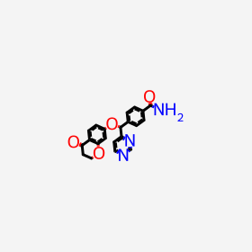 NC(=O)c1ccc(C(Oc2ccc3c(c2)OCCC3=O)c2ccncn2)cc1